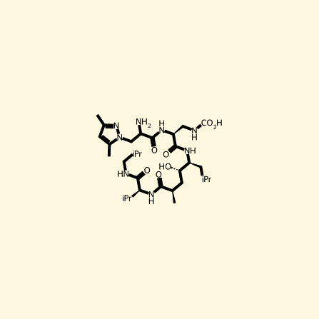 Cc1cc(C)n(CC(N)C(=O)N[C@@H](CNC(=O)O)C(=O)N[C@@H](CC(C)C)[C@@H](O)C[C@@H](C)C(=O)N[C@H](C(=O)NCC(C)C)C(C)C)n1